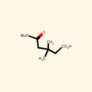 CC(C)COC(=O)CC(C)(C)CC(=O)O